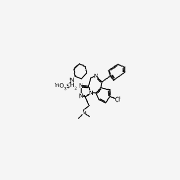 C1CCCCC1.CN(C)CCc1nnc2n1-c1ccc(Cl)cc1C(c1ccccc1)=NC2.NS(=O)(=O)O